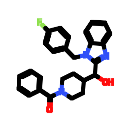 O=C(c1ccccc1)N1CCC(C(O)c2nc3ccccc3n2Cc2ccc(F)cc2)CC1